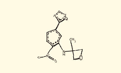 CC1(Nc2cc(-c3ncno3)ccc2[N+](=O)[O-])COC1